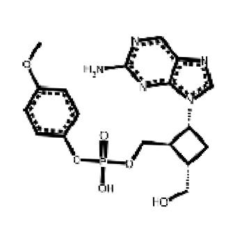 COc1ccc(OP(=O)(O)OC[C@@H]2[C@@H](CO)C[C@H]2n2cnc3cnc(N)nc32)cc1